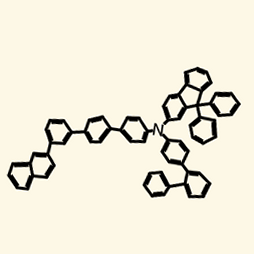 c1ccc(-c2ccccc2-c2ccc(N(c3ccc(-c4ccc(-c5cccc(-c6ccc7ccccc7c6)c5)cc4)cc3)c3ccc4c(c3)C(c3ccccc3)(c3ccccc3)c3ccccc3-4)cc2)cc1